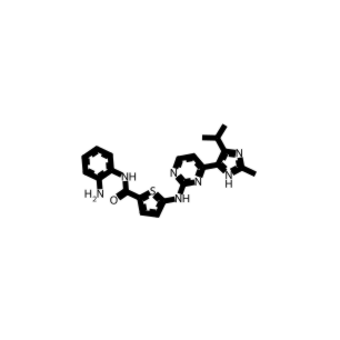 Cc1nc(C(C)C)c(-c2ccnc(Nc3ccc(C(=O)Nc4ccccc4N)s3)n2)[nH]1